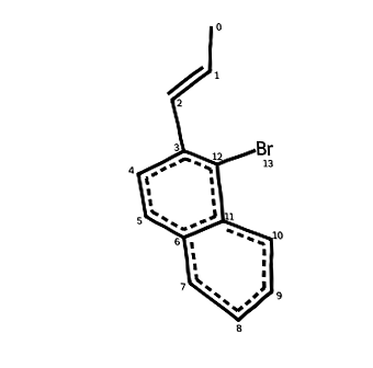 CC=Cc1ccc2ccccc2c1Br